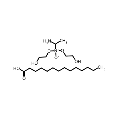 CC(N)[N+]([O-])(OCCO)OCCO.CCCCCCCCCCCCCC(=O)O